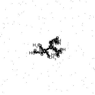 COCCOc1cc(C(=O)NCCCC(=O)O)c(OCCOC)cc1C#Cc1cc(-n2ccc(CN(CC(=O)O)C[PH](=O)O)n2)nc(-n2ccc(CN(CC=O)CP(=O)(O)O)n2)c1